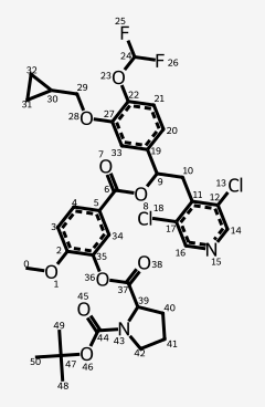 COc1ccc(C(=O)OC(Cc2c(Cl)cncc2Cl)c2ccc(OC(F)F)c(OCC3CC3)c2)cc1OC(=O)C1CCCN1C(=O)OC(C)(C)C